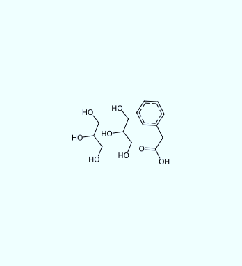 O=C(O)Cc1ccccc1.OCC(O)CO.OCC(O)CO